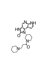 O=C(CCN1CCCCC1)N1CCC[C@@H](n2c(=O)[nH]c3cnc4[nH]ccc4c32)C1